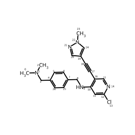 CN(C)Cc1ccc(CNc2cc(Cl)ncc2C#Cc2cnn(C)c2)cc1